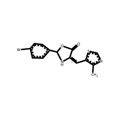 Cc1ncsc1/C=C1/NC(c2ccc(Br)cc2)OC1=O